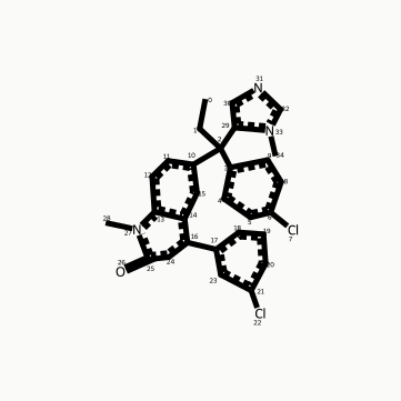 CCC(c1ccc(Cl)cc1)(c1ccc2c(c1)c(-c1cccc(Cl)c1)cc(=O)n2C)c1cncn1C